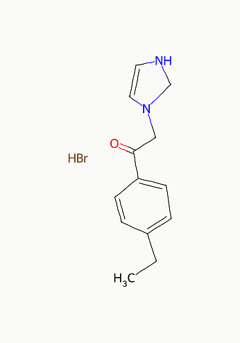 Br.CCc1ccc(C(=O)CN2C=CNC2)cc1